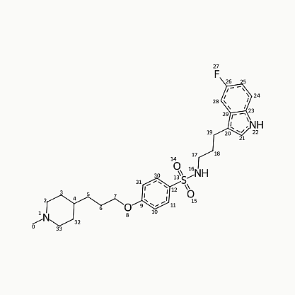 CN1CCC(CCCOc2ccc(S(=O)(=O)NCCCc3c[nH]c4ccc(F)cc34)cc2)CC1